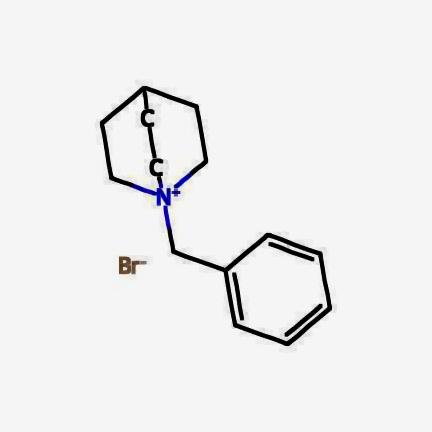 [Br-].c1ccc(C[N+]23CCC(CC2)CC3)cc1